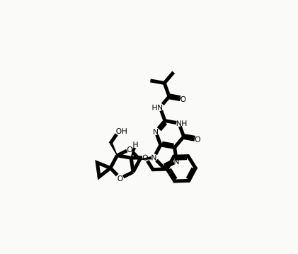 CC(C)C(=O)Nc1nc2c(ncn2[C@@H]2O[C@]3(CO)[C@H](OCc4ccccc4)C2OC32CC2)c(=O)[nH]1